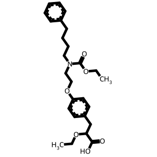 CCOC(=O)N(CCCCc1ccccc1)CCOc1ccc(CC(OCC)C(=O)O)cc1